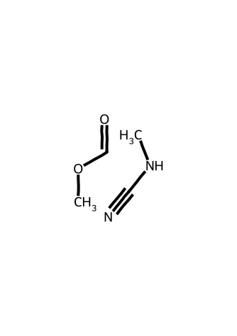 CNC#N.COC=O